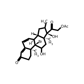 CC(=O)OCC(=O)[C@@]1(O)C(C)C[C@H]2[C@@H]3C=CC4=CC(=O)CC[C@]4(C)[C@@]3(Br)C(O)C[C@@]21C